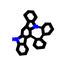 c1ccc2c(c1)-c1ccccc1-n1c3ccccc3c3cc4[nH]c5ccccc5c4c-2c31